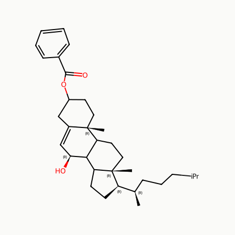 CC(C)CCC[C@@H](C)[C@H]1CCC2C3C(CC[C@@]21C)[C@@]1(C)CCC(OC(=O)c2ccccc2)CC1=C[C@@H]3O